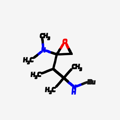 CCC(C)NC(C)(C)C(C)C1(N(C)C)CO1